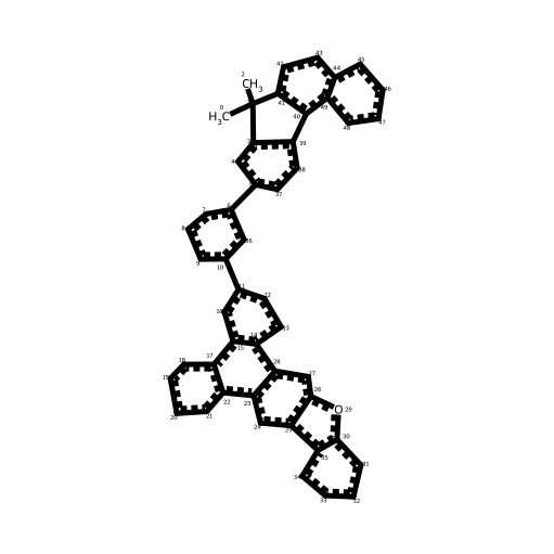 CC1(C)c2cc(-c3cccc(-c4ccc5c(c4)c4ccccc4c4cc6c(cc54)oc4ccccc46)c3)ccc2-c2c1ccc1ccccc21